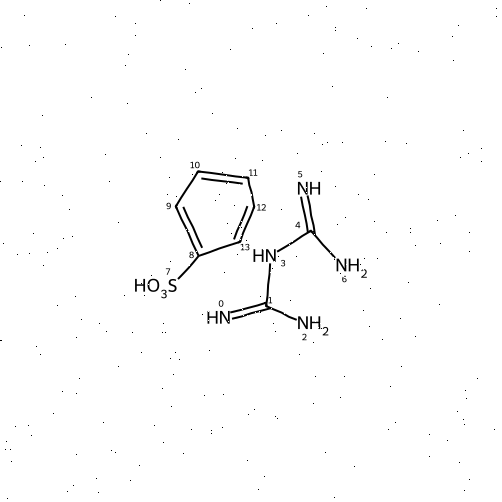 N=C(N)NC(=N)N.O=S(=O)(O)c1ccccc1